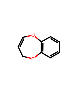 [c]1cccc2c1OCC=CO2